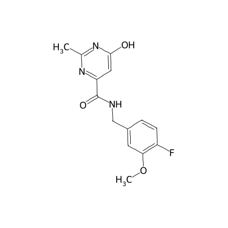 COc1cc(CNC(=O)c2cc(O)nc(C)n2)ccc1F